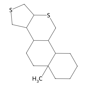 CC12CCCCC1C1CSC3CSCC3C1CC2